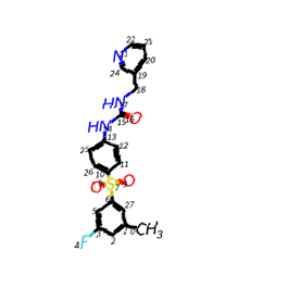 Cc1cc(F)cc(S(=O)(=O)c2ccc(NC(=O)NCc3cccnc3)cc2)c1